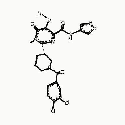 CCOc1c(C(=O)Nc2cnoc2)nc([C@H]2CCCN(C(=O)c3ccc(Cl)c(Cl)c3)C2)n(C)c1=O